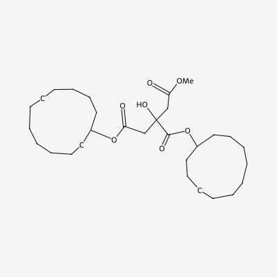 COC(=O)CC(O)(CC(=O)OC1CCCCCCCCCCC1)C(=O)OC1CCCCCCCCCC1